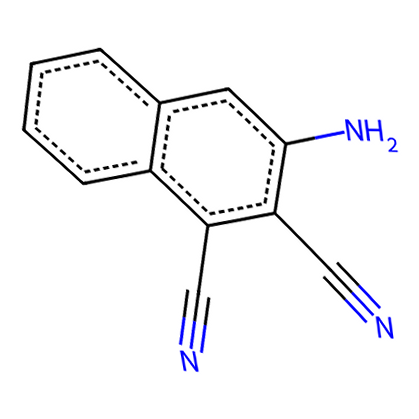 N#Cc1c(N)cc2ccccc2c1C#N